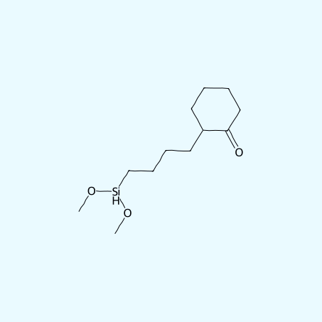 CO[SiH](CCCCC1CCCCC1=O)OC